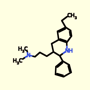 CCc1ccc2c(c1)CC(CCCN(C)C)C(c1ccccc1)N2